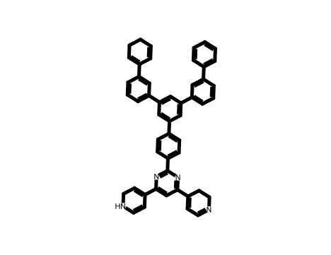 C1=CC(c2cccc(-c3cc(-c4ccc(-c5nc(C6=CCNC=C6)cc(C6=CC=NCC6)n5)cc4)cc(-c4cccc(-c5ccccc5)c4)c3)c2)=CCC1